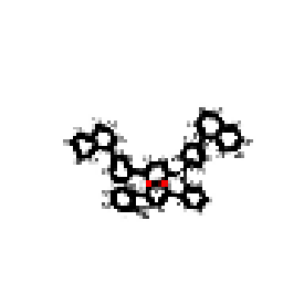 c1c(-c2ccccc2N(C2=CC=C(c3cccc4ccccc34)CC2)c2ccc(-c3cccc(-c4cccc5ccccc45)c3)cc2)cc2oc3ccccc3c2c#1